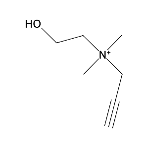 C#CC[N+](C)(C)CCO